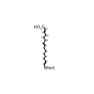 CCCCC/C=C/CCCCC/C=C/CCC/C=C/C(=O)O